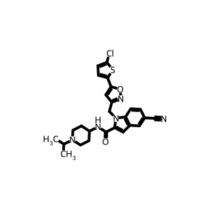 CC(C)N1CCC(NC(=O)c2cc3cc(C#N)ccc3n2Cc2cc(-c3ccc(Cl)s3)on2)CC1